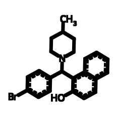 CC1CCN(C(c2ccc(Br)cc2)c2c(O)ccc3ccccc23)CC1